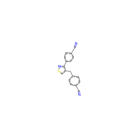 N#Cc1ccc(Cc2csnc2-c2ccc(C#N)cc2)cc1